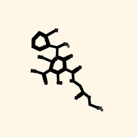 CCOC(=O)CNC(=O)c1c(O)c(C(=O)O)c(O)n(C(C)c2ccccc2Cl)c1=O